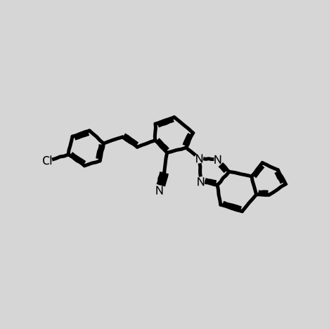 N#Cc1c(C=Cc2ccc(Cl)cc2)cccc1-n1nc2ccc3ccccc3c2n1